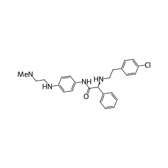 CNCCNc1ccc(NC(=O)[C@@H](NCCc2ccc(Cl)cc2)c2ccccc2)cc1